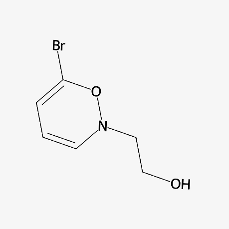 OCCN1C=CC=C(Br)O1